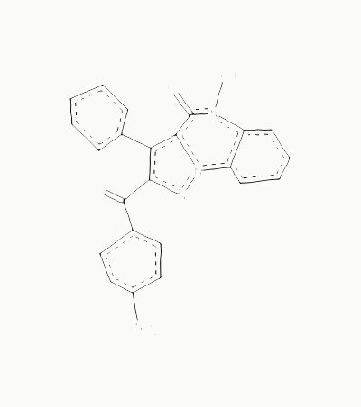 Cn1c(=O)c2c(-c3ccccc3)c(C(=O)c3ccc([N+](=O)[O-])cc3)nn2c2ccccc21